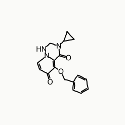 O=C1c2c(OCc3ccccc3)c(=O)ccn2NCN1C1CC1